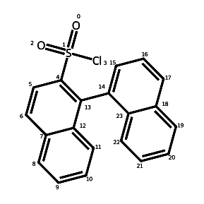 O=S(=O)(Cl)c1ccc2ccccc2c1-c1cccc2ccccc12